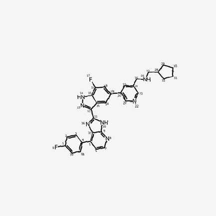 Fc1ccc(-c2ccnc3[nH]c(-c4n[nH]c5c(F)cc(-c6cncc(CNCC7CCCC7)c6)cc45)nc23)cc1